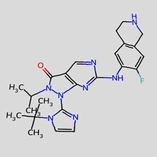 CC(C)n1c(=O)c2cnc(Nc3cc4c(cc3F)CNCC4)nc2n1-c1nccn1C(C)(C)C